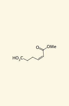 COC(=O)/C=C\CCC(=O)O